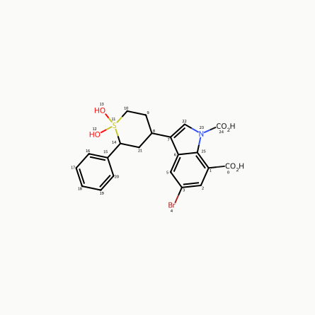 O=C(O)c1cc(Br)cc2c(C3CCS(O)(O)C(c4ccccc4)C3)cn(C(=O)O)c12